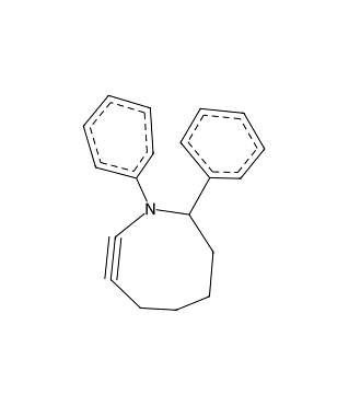 C1#CN(c2ccccc2)C(c2ccccc2)CCCC1